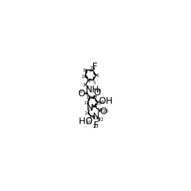 O=C(NCc1ccc(F)cc1)c1cn2c(c(O)c1=O)C(=O)N(CF)C(O)C2